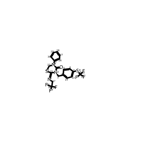 O=C1N(Cc2ccc(SC(F)(F)F)cc2)/C(=N\CC(F)(F)F)SCN1c1ccccc1